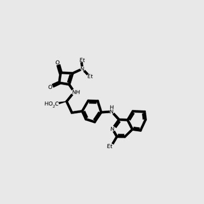 CCc1cc2ccccc2c(Nc2ccc(C[C@H](Nc3c(N(CC)CC)c(=O)c3=O)C(=O)O)cc2)n1